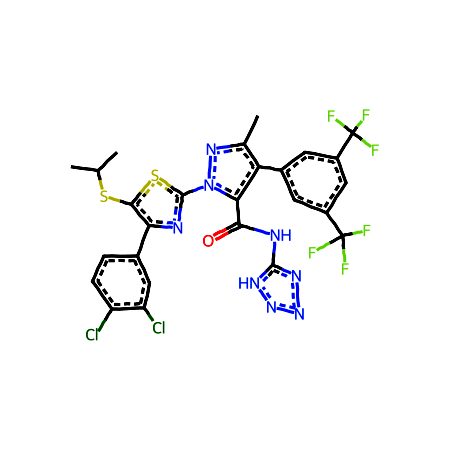 Cc1nn(-c2nc(-c3ccc(Cl)c(Cl)c3)c(SC(C)C)s2)c(C(=O)Nc2nnn[nH]2)c1-c1cc(C(F)(F)F)cc(C(F)(F)F)c1